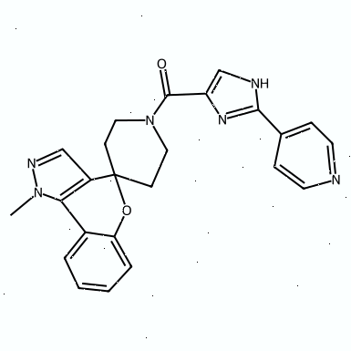 Cn1ncc2c1-c1ccccc1OC21CCN(C(=O)c2c[nH]c(-c3ccncc3)n2)CC1